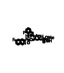 COP(=O)(O)OCC(O)C[C@@H](COC(=O)Nc1cc2cc(F)ccc2cn1)N(NCc1cccc(F)c1Cl)C(C)=O